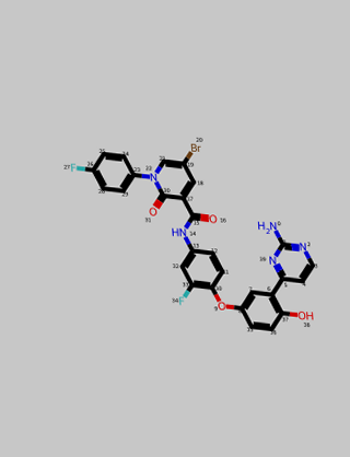 Nc1nccc(-c2cc(Oc3ccc(NC(=O)c4cc(Br)cn(-c5ccc(F)cc5)c4=O)cc3F)ccc2O)n1